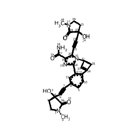 CN1CCC(O)(C#Cc2ccc3c(c2)-c2nc(C(N)=O)c(C#CC4(O)CCN(C)C4=O)n2C2C=C3C2)C1=O